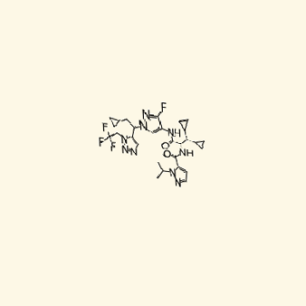 CC(C)n1nccc1C(=O)N[C@H](C(=O)Nc1cn(C(CC2CC2)c2cnnn2CC(F)(F)F)nc1F)C(C1CC1)C1CC1